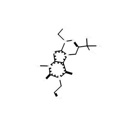 C=CCn1c(=O)c2c(nc3n2CC(C(C)(C)C)=NN3CC)n(C)c1=O